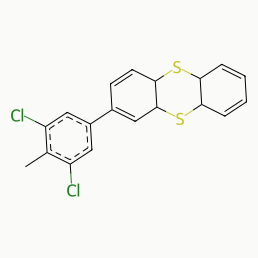 Cc1c(Cl)cc(C2=CC3SC4C=CC=CC4SC3C=C2)cc1Cl